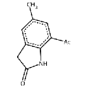 CC(=O)c1cc(C)cc2c1NC(=O)C2